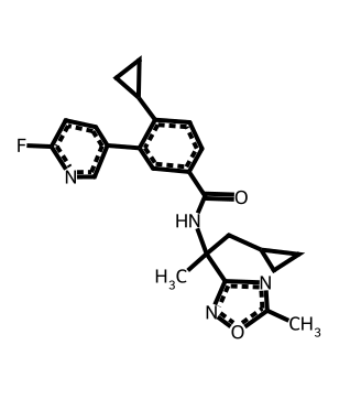 Cc1nc(C(C)(CC2CC2)NC(=O)c2ccc(C3CC3)c(-c3ccc(F)nc3)c2)no1